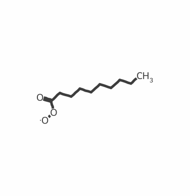 CCCCCCCCCC(=O)O[O]